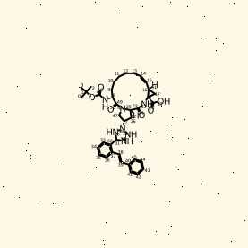 CC(C)(C)OC(=O)N[C@H]1CCCCC/C=C\[C@@H]2C[C@]2(C(=O)O)NC(=O)[C@@H]2C[C@@H](N3NNC(c4ccccc4/C=C/c4ccccc4)N3)CN2C1=O